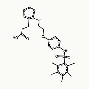 Cc1c(C)c(C)c(S(=O)(=O)Nc2ccc(OCCOc3ccccc3CCC(=O)O)cc2)c(C)c1C